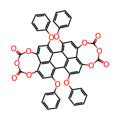 O=C1OC(=O)Oc2cc(Oc3ccccc3)c3c4c(Oc5ccccc5)cc5c6c(cc(Oc7ccccc7)c(c7c(Oc8ccccc8)cc(c2c73)O1)c64)OC(=O)OC(=O)O5